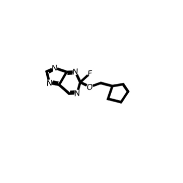 FC1(OCC2CCCC2)N=CC2=NC=NC2=N1